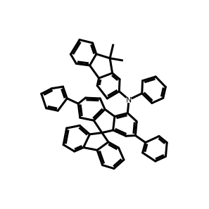 CC1(C)c2ccccc2-c2ccc(N(c3ccccc3)c3cc(-c4ccccc4)cc4c3-c3ccc(-c5ccccc5)cc3C43c4ccccc4-c4ccccc43)cc21